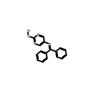 CC(C)Oc1ncc(N=C(c2ccccc2)c2ccccc2)cn1